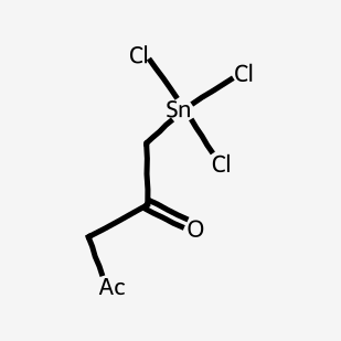 CC(=O)CC(=O)[CH2][Sn]([Cl])([Cl])[Cl]